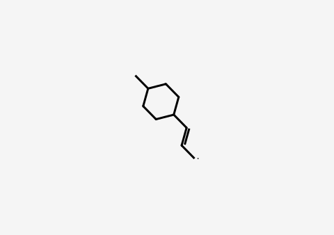 [CH2]C=CC1CCC(C)CC1